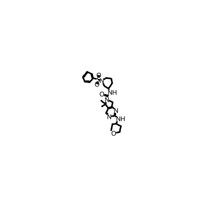 CC1(C)c2cnc(NC3CCOCC3)nc2CN1C(=O)NC1CCCN(S(=O)(=O)c2ccccc2)C1